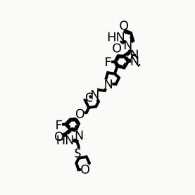 Cn1nc(-n2ccc(=O)[nH]c2=O)c2cc(F)c(C3CCN(CCN4CCC(COc5cc(F)c6c(=O)[nH]c(CSC7CCOCC7)nc6c5)CC4)CC3)cc21